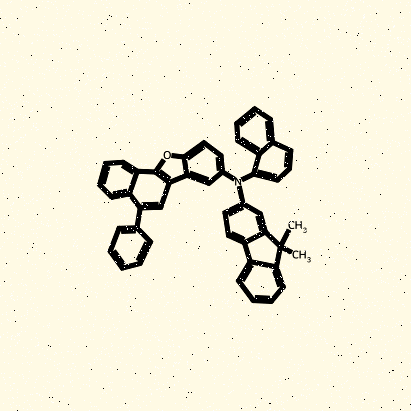 CC1(C)c2ccccc2-c2ccc(N(c3ccc4oc5c6ccccc6c(-c6ccccc6)cc5c4c3)c3cccc4ccccc34)cc21